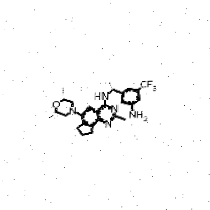 Cc1nc(N[C@H](C)c2cc(N)cc(C(F)(F)F)c2)c2cc(N3C[C@@H](C)O[C@@H](C)C3)c3c(c2n1)CCC3